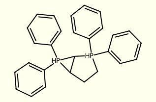 c1ccc([PH]2(c3ccccc3)CCC3C2[PH]3(c2ccccc2)c2ccccc2)cc1